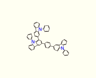 c1ccc(-n2c3ccccc3c3cc(-c4ccc(-c5cc(-c6ccc7c8ccccc8n(-c8ccccc8)c7c6)c6c(c5)c5ccccc5n6-c5ccccc5)cc4)ccc32)cc1